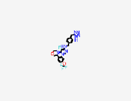 Fc1c(NCc2ccc(Cc3nnn[nH]3)cc2)ncnc1N1CCOCC1c1ccc(OC(F)(F)F)cc1